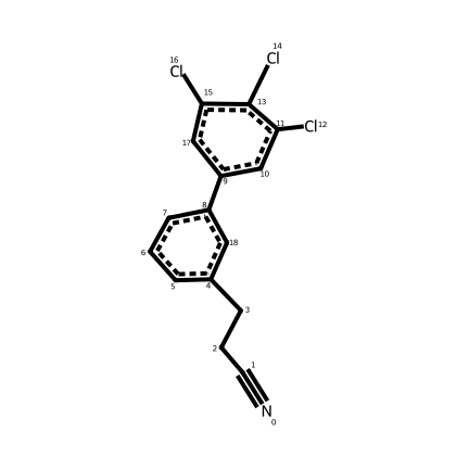 N#CCCc1cccc(-c2cc(Cl)c(Cl)c(Cl)c2)c1